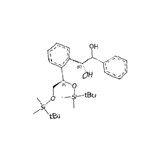 CC(C)(C)[Si](C)(C)OC[C@H](O[Si](C)(C)C(C)(C)C)c1ccccc1[C@@H](O)C(O)c1ccccc1